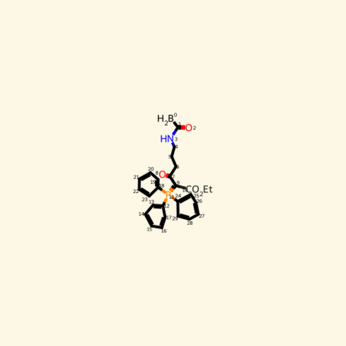 BC(=O)NCCCC(=O)C(C(=O)OCC)=P(c1ccccc1)(c1ccccc1)c1ccccc1